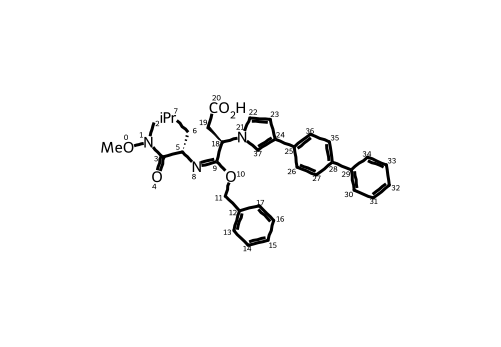 CON(C)C(=O)[C@H](CC(C)C)N=C(OCc1ccccc1)[C@@H](CC(=O)O)n1ccc(-c2ccc(-c3ccccc3)cc2)c1